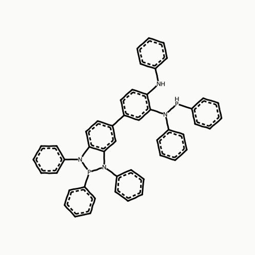 c1ccc(Nc2ccc(-c3ccc4c(c3)N(c3ccccc3)P(c3ccccc3)N4c3ccccc3)cc2N(Pc2ccccc2)c2ccccc2)cc1